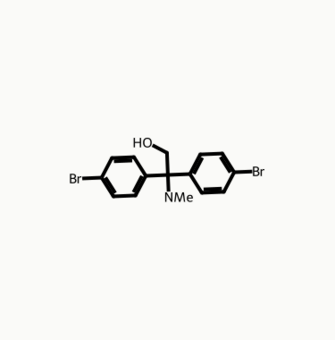 CNC(CO)(c1ccc(Br)cc1)c1ccc(Br)cc1